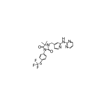 CC1(C)C(=O)N(c2ccc(SC(F)(F)F)cc2)C(=O)N1Cc1ccnc(Nc2ncccn2)c1